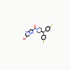 O=C(c1cc2ncc(Br)cn2n1)N1CCC(=C(c2ccc(F)cc2)c2ccc(F)cc2)CC1